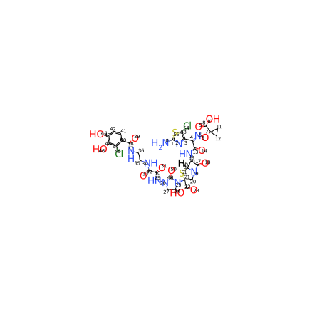 Nc1nc(/C(=N/OC2(C(=O)O)CC2)C(=O)N[C@@H]2C(=O)N3C[C@@](C(=O)O)(N4CCN(NC(=O)C(=O)NCCNC(=O)c5ccc(O)c(O)c5Cl)C4=O)S[C@H]23)c(Cl)s1